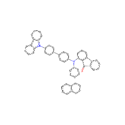 O=C1c2ccccc2-c2cccc(N(c3ccc(-c4ccc(-n5c6ccccc6c6ccccc65)cc4)cc3)c3ccc(-c4cccc5ccccc45)cc3)c21